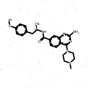 CC(C)Oc1ccc(C[C@@H](C#N)NC(=O)c2ccc3c(N4CCN(C)CC4)nc(N)nc3c2)cc1